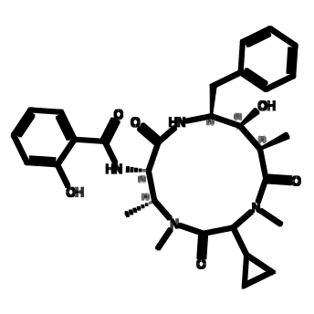 C[C@@H]1[C@H](NC(=O)c2ccccc2O)C(=O)N[C@@H](Cc2ccccc2)[C@@H](O)[C@@H](C)C(=O)N(C)C(C2CC2)C(=O)N1C